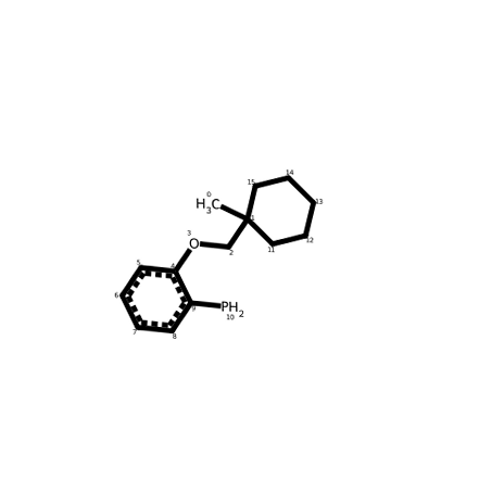 CC1(COc2ccccc2P)CCCCC1